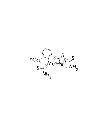 CCCCCCCCc1cccc[c]1[Mo+3].NC(=S)[S-].NC(=S)[S-].NC(=S)[S-]